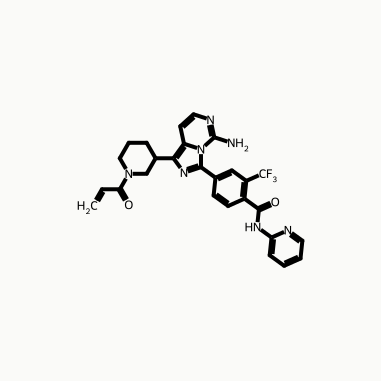 C=CC(=O)N1CCCC(c2nc(-c3ccc(C(=O)Nc4ccccn4)c(C(F)(F)F)c3)n3c(N)nccc23)C1